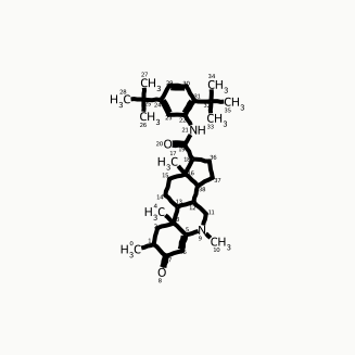 CC1CC2(C)C(=CC1=O)N(C)CC1C2CCC2(C)C(C(=O)Nc3cc(C(C)(C)C)ccc3C(C)(C)C)CCC12